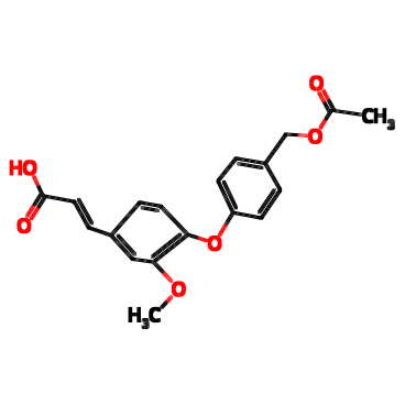 COc1cc(C=CC(=O)O)ccc1Oc1ccc(COC(C)=O)cc1